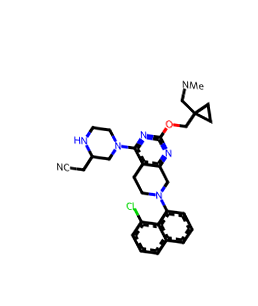 CNCC1(COc2nc3c(c(N4CCNC(CC#N)C4)n2)CCN(c2cccc4cccc(Cl)c24)C3)CC1